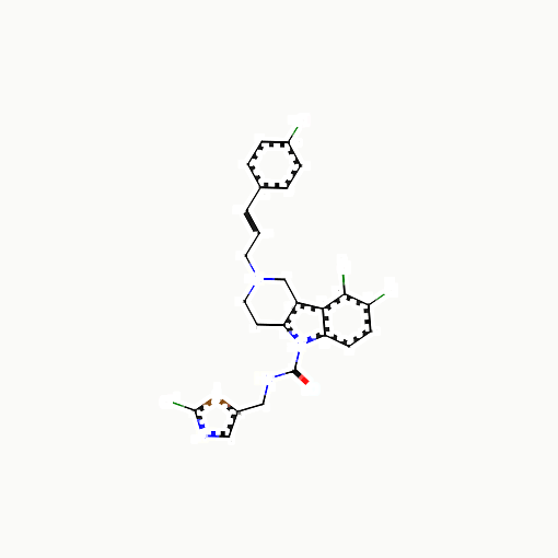 O=C(NCc1cnc(Cl)s1)n1c2c(c3c(Cl)c(Cl)ccc31)CN(CC=Cc1ccc(Cl)cc1)CC2